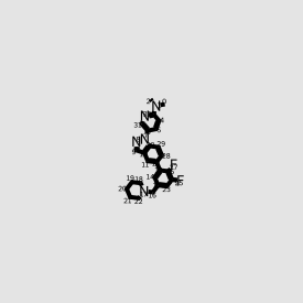 CN(C)c1ccc(-n2ncc3cc(-c4cc(CN5CCCCC5)cc(F)c4F)ccc32)cn1